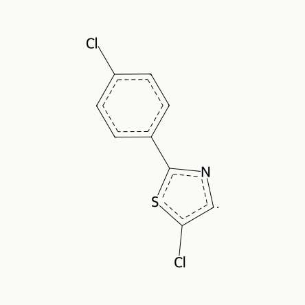 Clc1ccc(-c2n[c]c(Cl)s2)cc1